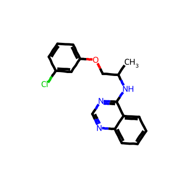 CC(COc1cccc(Cl)c1)Nc1ncnc2ccccc12